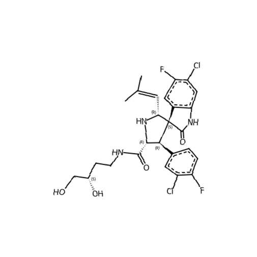 CC(C)=C[C@H]1N[C@@H](C(=O)NCC[C@H](O)CO)[C@H](c2ccc(F)c(Cl)c2)[C@@]12C(=O)Nc1cc(Cl)c(F)cc12